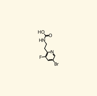 O=C(O)NCCc1ncc(Br)cc1F